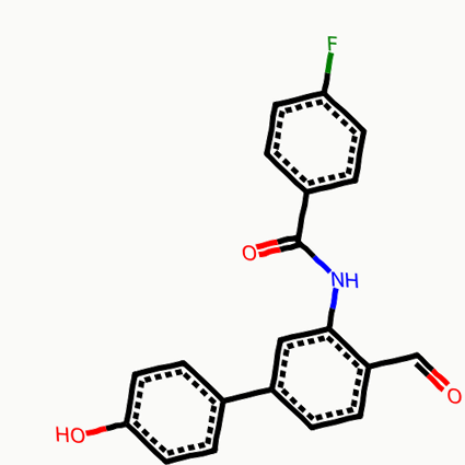 O=Cc1ccc(-c2ccc(O)cc2)cc1NC(=O)c1ccc(F)cc1